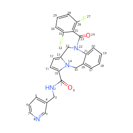 O=C(NCc1cccnc1)c1ccc2n1Cc1ccccc1N(C(=O)c1c(F)cccc1F)C2